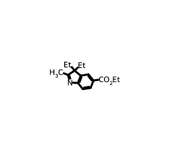 CCOC(=O)c1ccc2c(c1)C(CC)(CC)C(C)=N2